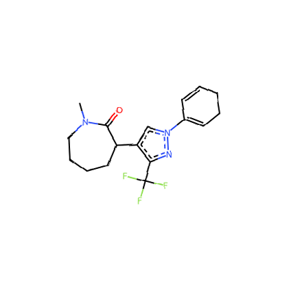 CN1CCCCC(c2cn(C3=CCCC=C3)nc2C(F)(F)F)C1=O